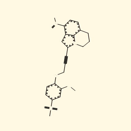 COc1cc(S(C)(=O)=O)ccc1NCC#Cc1cc2c([N+](=O)[O-])ccc3c2n1CCC3